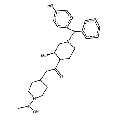 CB(O)N1CCC(CC(=O)N2CCN(C(c3ccccc3)c3ccc(O)cc3)C[C@@H]2C(C)(C)C)CC1